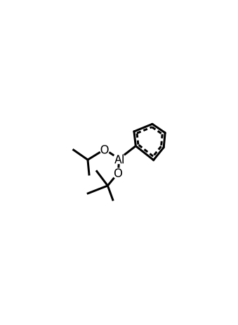 CC(C)[O][Al]([O]C(C)(C)C)[c]1ccccc1